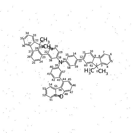 CC1(C)c2ccccc2-c2ccc(-c3ccc(N(c4cccc(-c5cccc6c5C(C)(C)c5ccccc5-6)c4)c4cccc(-c5cccc6oc7ccccc7c56)c4)cc3)cc21